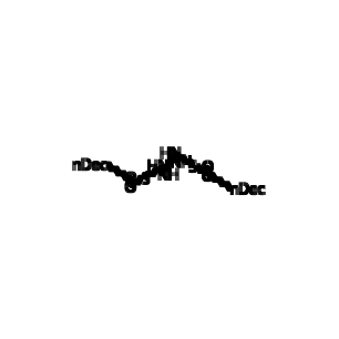 CCCCCCCCCCCCCCCCOC(=O)CCSCCCC(=N)NCCNC(=N)CCCSCCC(=O)OCCCCCCCCCCCCCCCC